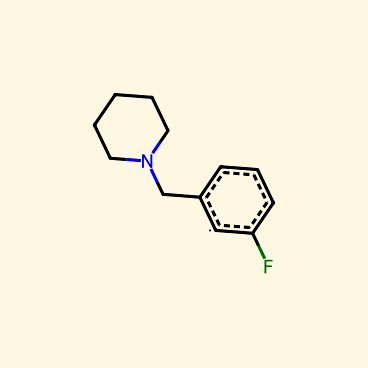 Fc1[c]c(CN2CCCCC2)ccc1